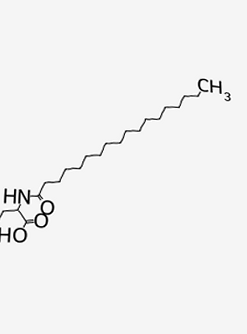 CCCCCCCCCCCCCCCCCC(=O)NC(CCSC)C(=O)O